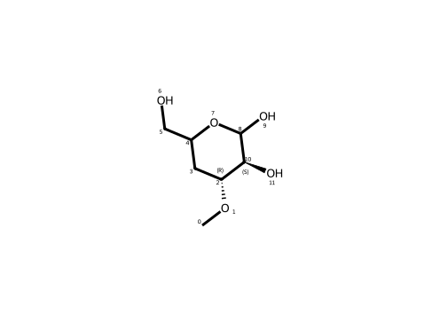 CO[C@@H]1CC(CO)OC(O)[C@H]1O